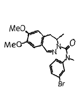 COc1cc2c(cc1OC)CC(C)N(C(=O)N(C)c1cccc(Br)c1)N=C2